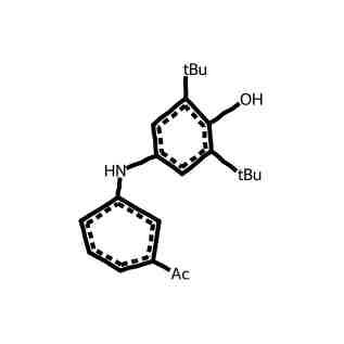 CC(=O)c1cccc(Nc2cc(C(C)(C)C)c(O)c(C(C)(C)C)c2)c1